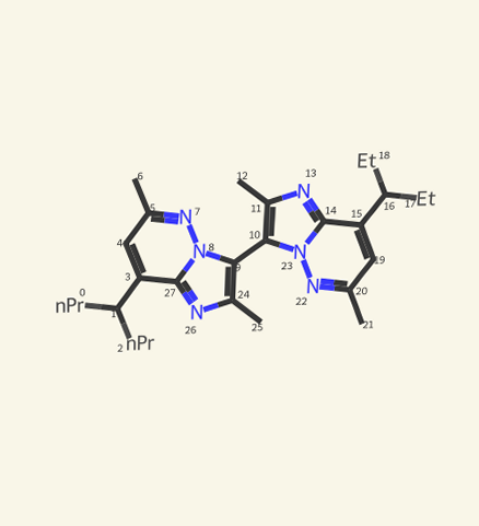 CCCC(CCC)c1cc(C)nn2c(-c3c(C)nc4c(C(CC)CC)cc(C)nn34)c(C)nc12